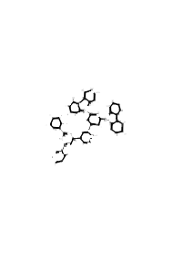 c1ccc(-c2cc(-c3cccc(-c4cc(-n5c6ccccc6c6ccccc65)cc(-n5c6ccccc6c6ccccc65)c4)c3)nc(-c3ccccc3)n2)cc1